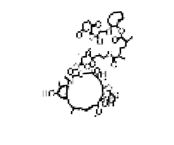 COC1/C=C/C=C(\C)Cc2cc(O)c(C)c(c2)N(C)C(=O)C[C@H](OC(=O)[C@H](C)N(C)C(=O)CCSC(=O)C(C)CCC(C)C(=O)OC2/C=C/CCCCC2OCC(=O)ON2C(=O)CCC2=O)[C@]2(C)O[C@H]2[C@H](C)[C@]2(C)CC1(O)NC(=O)O2